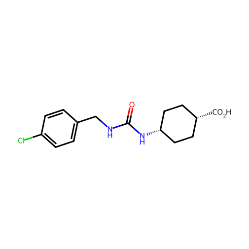 O=C(NCc1ccc(Cl)cc1)N[C@H]1CC[C@@H](C(=O)O)CC1